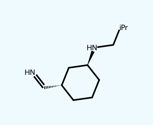 CC(C)CN[C@H]1CCC[C@H](C=N)C1